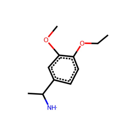 CCOc1ccc(C(C)[NH])cc1OC